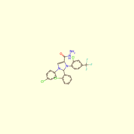 NNC(=O)C1=CN(c2ccc(Cl)cc2)C(c2ccccc2Cl)N1c1ccc(C(F)(F)F)cc1Cl